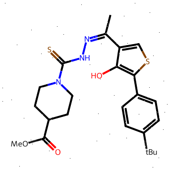 COC(=O)C1CCN(C(=S)NN=C(C)c2csc(-c3ccc(C(C)(C)C)cc3)c2O)CC1